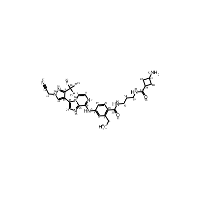 CCc1cc(Nc2nccn3c(-c4cn(CC#N)nc4C(F)(F)F)cnc23)ccc1C(=O)NCCCNC(=O)C1CC(N)C1